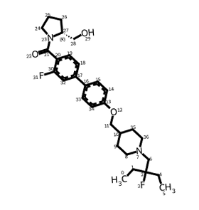 CCC(F)(CC)CN1CCC(COc2ccc(-c3ccc(C(=O)N4CCC[C@@H]4CO)c(F)c3)cc2)CC1